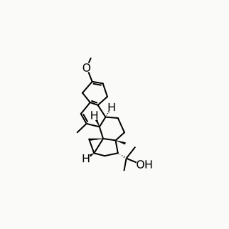 COC1=CCC2=C(C=C(C)[C@@H]3[C@@H]2CC[C@]2(C)[C@H](C(C)(C)O)C[C@@H]4C[C@@]432)C1